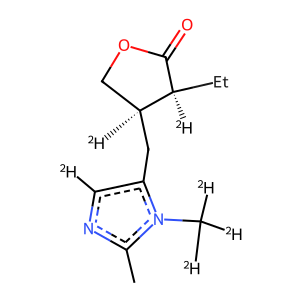 [2H]c1nc(C)n(C([2H])([2H])[2H])c1C[C@@]1([2H])COC(=O)[C@@]1([2H])CC